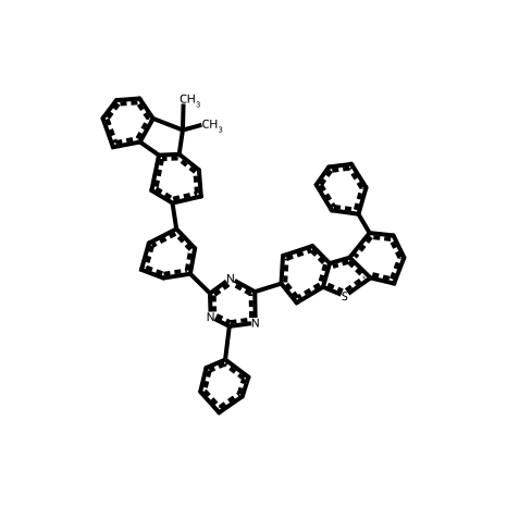 CC1(C)c2ccccc2-c2cc(-c3cccc(-c4nc(-c5ccccc5)nc(-c5ccc6c(c5)sc5cccc(-c7ccccc7)c56)n4)c3)ccc21